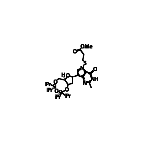 COC(=O)CCSn1cc([C@H]2CC3O[Si](C(C)C)(C(C)C)O[Si](C(C)C)(C(C)C)OC[C@H]3O2)c2nc(C)[nH]c(=O)c21